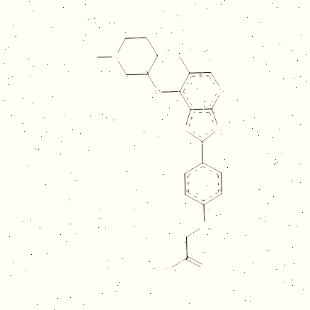 CNC(=O)COc1ccc(-c2nc3c(NC4CCCN(C)C4)c(Cl)cnc3[nH]2)cc1